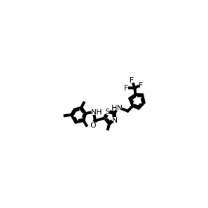 Cc1cc(C)c(NC(=O)c2sc(NCc3cccc(C(F)(F)F)c3)nc2C)c(C)c1